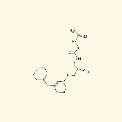 CC(CNC(=O)NNC(N)=O)COc1cccc(CN2CCCCC2)c1